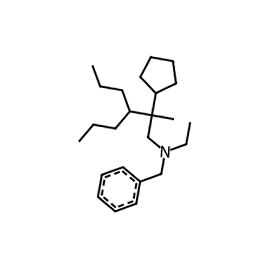 CCCC(CCC)C(C)(CN(CC)Cc1ccccc1)C1CCCC1